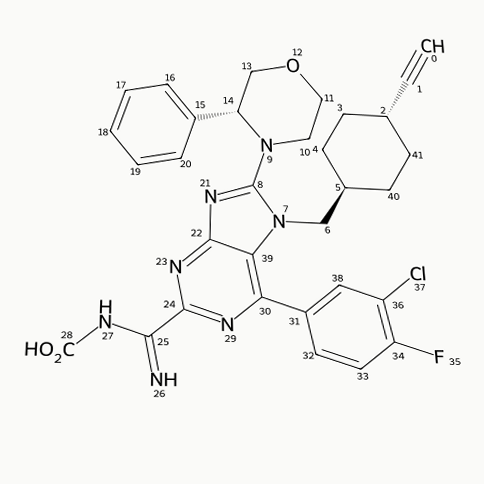 C#C[C@H]1CC[C@H](Cn2c(N3CCOC[C@H]3c3ccccc3)nc3nc(C(=N)NC(=O)O)nc(-c4ccc(F)c(Cl)c4)c32)CC1